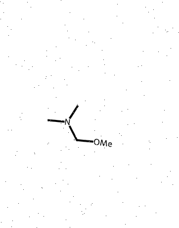 CO[CH]N(C)C